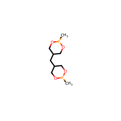 CP1OCC(CC2COP(C)OC2)CO1